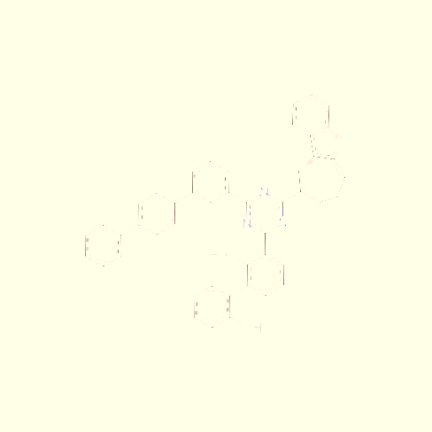 Cc1ccccc1-c1cccc(-c2nc(C3=CCC=c4sc5ccccc5c4=C3)nc(-c3cccc(-c4ccc(-c5ccccc5)cc4)c3)n2)c1C